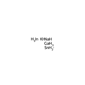 [GaH3].[InH3].[KH].[NaH].[SnH2]